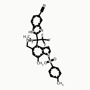 CCc1cc(C)c2c(ccn2S(=O)(=O)c2ccc(C)cc2)c1C(NC)(c1nc2cc(C#N)ccc2[nH]1)C(F)(F)F